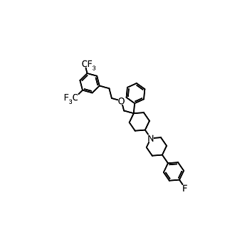 Fc1ccc(C2CCN(C3CCC(COCCc4cc(C(F)(F)F)cc(C(F)(F)F)c4)(c4ccccc4)CC3)CC2)cc1